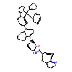 c1ccc(C2(c3ccccc3)c3ccccc3-c3ccc(-c4ccc(-c5ccc6c(c5)OC(c5ccc7ncccc7c5)N6)c5ccccc45)cc32)cc1